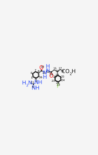 N=C(N)Nc1cccc(C(=O)NNC(=O)CC(CC(=O)O)c2ccc(F)cc2)c1